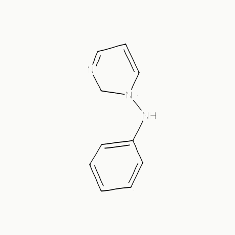 C1=CN(Nc2ccccc2)CN=C1